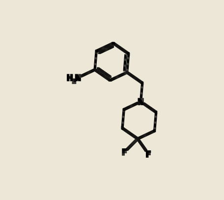 Nc1cccc(CN2CCC(F)(F)CC2)c1